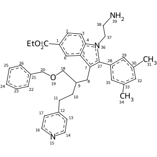 CCOC(=O)c1ccc2c(c1)c(CC(CCc1ccncc1)COCc1ccccc1)c(-c1cc(C)cc(C)c1)n2CCN